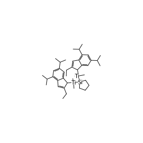 CCC1=Cc2c(C(C)C)cc(C(C)C)cc2[CH]1[Ti]([CH3])([CH3])[Si]1([Ti]([CH3])([CH3])[CH]2C(CC)=Cc3c(C(C)C)cc(C(C)C)cc32)CCCC1